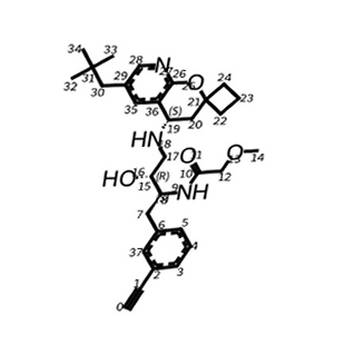 C#Cc1cccc(C[C@H](NC(=O)COC)[C@H](O)CN[C@H]2CC3(CCC3)Oc3ncc(CC(C)(C)C)cc32)c1